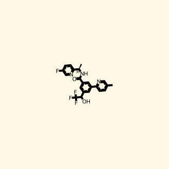 Cc1ccc(-c2cc(C(=O)N[C@H](C)c3ccc(F)cn3)cc(C(O)C(F)(F)F)c2)nc1